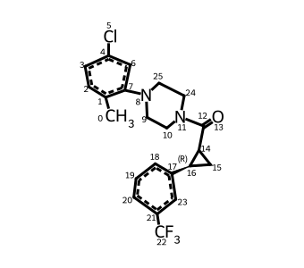 Cc1ccc(Cl)cc1N1CCN(C(=O)C2C[C@H]2c2cccc(C(F)(F)F)c2)CC1